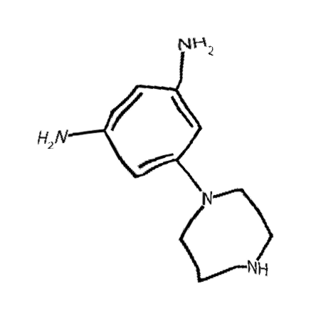 Nc1cc(N)cc(N2CCNCC2)c1